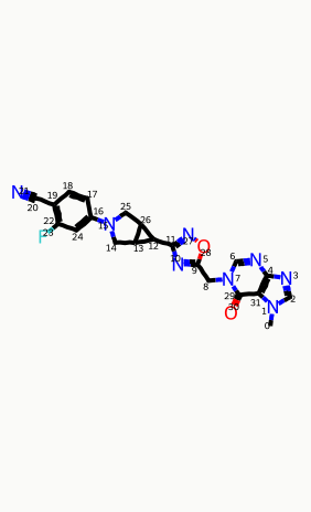 Cn1cnc2ncn(Cc3nc(C4C5CN(c6ccc(C#N)c(F)c6)CC54)no3)c(=O)c21